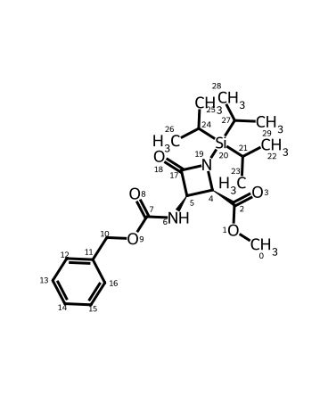 COC(=O)[C@H]1[C@@H](NC(=O)OCc2ccccc2)C(=O)N1[Si](C(C)C)(C(C)C)C(C)C